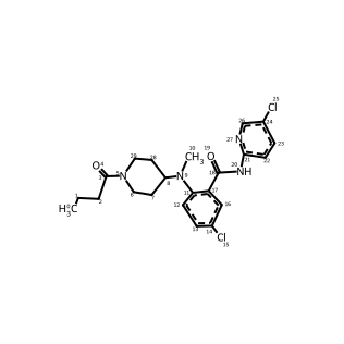 CCCC(=O)N1CCC(N(C)c2ccc(Cl)cc2C(=O)Nc2ccc(Cl)cn2)CC1